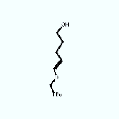 CCCCCOC=CCCCO